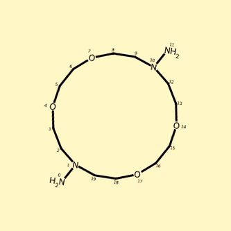 NN1CCOCCOCCN(N)CCOCCOCC1